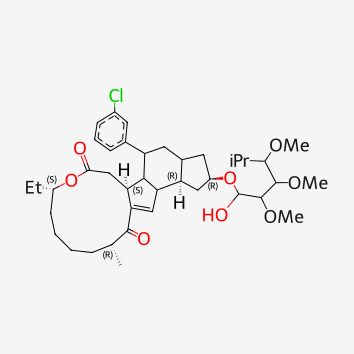 CC[C@H]1CCCC[C@@H](C)C(=O)C2=CC3C(C(c4cccc(Cl)c4)CC4C[C@@H](OC(O)C(OC)C(OC)C(OC)C(C)C)C[C@H]43)[C@@H]2CC(=O)O1